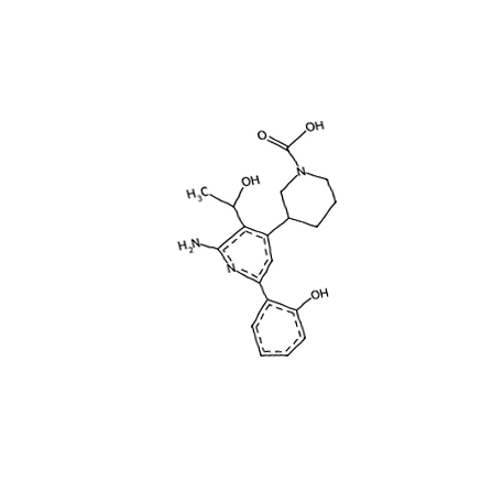 CC(O)c1c(C2CCCN(C(=O)O)C2)cc(-c2ccccc2O)nc1N